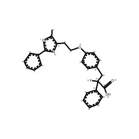 Cc1oc(-c2ccccc2)nc1CCOc1ccc(CC(F)(C(=O)O)c2ccccc2)cc1